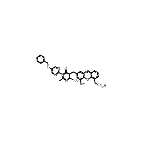 CCCCc1nc(C)n(-c2ncc(OCc3ccccc3)cn2)c(=O)c1Cc1cc(CCC)c(Oc2c(C)cccc2CC(=O)O)c(CCC)c1